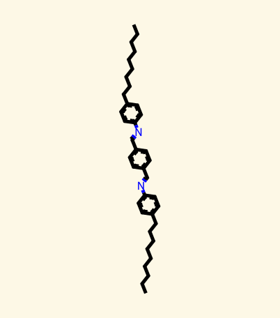 CCCCCCCCCc1ccc(/N=C/c2ccc(/C=N/c3ccc(CCCCCCCCC)cc3)cc2)cc1